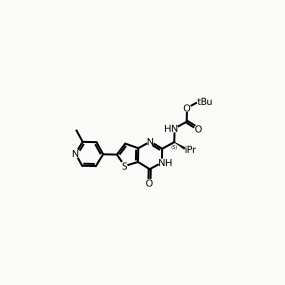 Cc1cc(-c2cc3nc([C@@H](NC(=O)OC(C)(C)C)C(C)C)[nH]c(=O)c3s2)ccn1